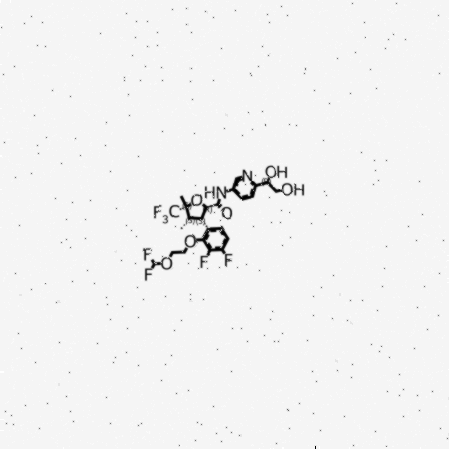 C[C@H]1[C@@H](c2ccc(F)c(F)c2OCCOC(F)F)[C@H](C(=O)Nc2ccc([C@@H](O)CO)nc2)O[C@@]1(C)C(F)(F)F